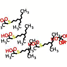 CCCCC(CCC)CCCCSCC(C)C(=O)O.CCCCC(CCC)CCCCSCC(C)C(=O)O.CCCCC(CCC)CCCCSCC(C)C(=O)O.CCCCC(CCC)CCCCSCC(C)C(=O)O.OCC(CO)(CO)CO